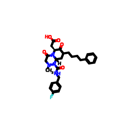 CN1CC(=O)N2[C@@H](CC(=O)O)C(=O)C(CCCCc3ccccc3)C[C@@H]2N1C(=O)NCc1ccc(F)cc1